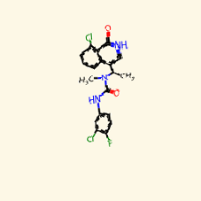 C[C@H](c1c[nH]c(=O)c2c(Cl)cccc12)N(C)C(=O)Nc1ccc(F)c(Cl)c1